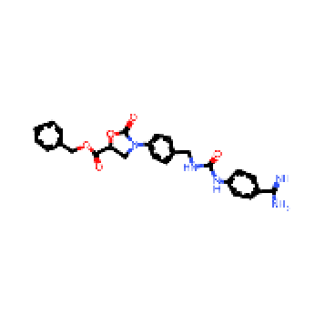 N=C(N)c1ccc(NC(=O)NCc2ccc(N3CC(C(=O)OCc4ccccc4)OC3=O)cc2)cc1